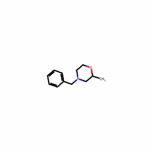 CC1CN(Cc2cc[c]cc2)CCO1